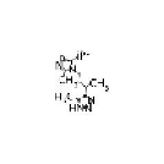 Cc1[nH]nnc1C(C)CCn1c(C)nnc1C(C)C